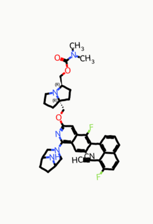 C#Cc1c(F)ccc2cccc(-c3c(C#N)cc4c(N5CC6CCC(C5)N6)nc(OC[C@]56CCCN5[C@@H](COC(=O)N(C)C)CC6)cc4c3F)c12